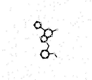 COc1ccccc1Cn1cnc2c(-c3cccs3)nc(Cl)nc21